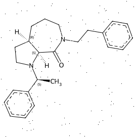 C[C@@H](c1ccccc1)N1CC[C@H]2CCCN(CCc3ccccc3)C(=O)[C@H]21